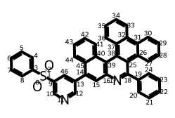 O=S(=O)(c1ccccc1)c1cncc(-c2cc3nc(-c4ccccc4)c4c5ccccc5c5ccccc5c4c3c3ccccc23)c1